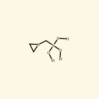 CCO[Si](CN1CC1)(OCC)OCC